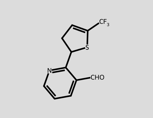 O=Cc1cccnc1C1CC=C(C(F)(F)F)S1